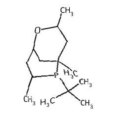 CC1CC2(C)CC(CC(C)P2C(C)(C)C)O1